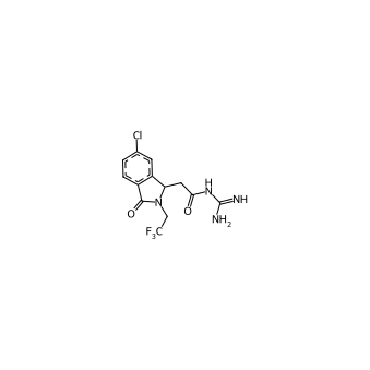 N=C(N)NC(=O)CC1c2cc(Cl)ccc2C(=O)N1CC(F)(F)F